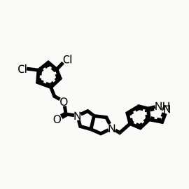 O=C(OCc1cc(Cl)cc(Cl)c1)N1CC2CN(Cc3ccc4[nH]ncc4c3)CC2C1